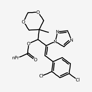 CCCC(=O)OC(C(=Cc1ccc(Cl)cc1Cl)n1cncn1)C1(C)COCOC1